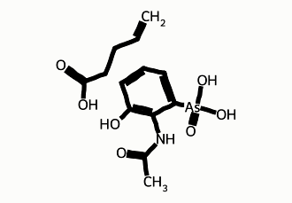 C=CCCC(=O)O.CC(=O)Nc1c(O)cccc1[As](=O)(O)O